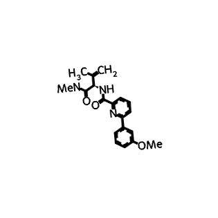 C=C(C)[C@H](NC(=O)c1cccc(-c2cccc(OC)c2)n1)C(=O)NC